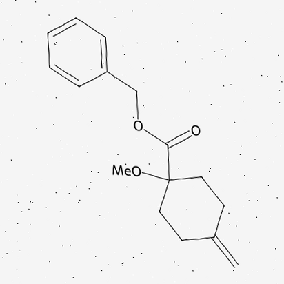 C=C1CCC(OC)(C(=O)OCc2ccccc2)CC1